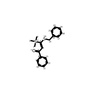 C[Si](C)(C)/C(=C\C(=O)c1ccccc1)SCc1ccccc1